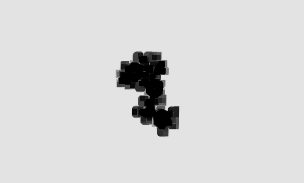 CC(C)(C)OC(=O)N(C(=O)O)c1cc(F)c(C(C)(C)C)c(F)c1NC(=O)c1cc(NC(=O)[C@H]2[C@H](c3cc(Cl)c(Cl)c(Cl)c3)C2(Cl)Cl)ccc1Cl